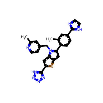 Cc1cc(Cn2c(-c3ccc(-c4ncc[nH]4)cc3C)cc3sc(-c4nnn[nH]4)cc32)ccn1